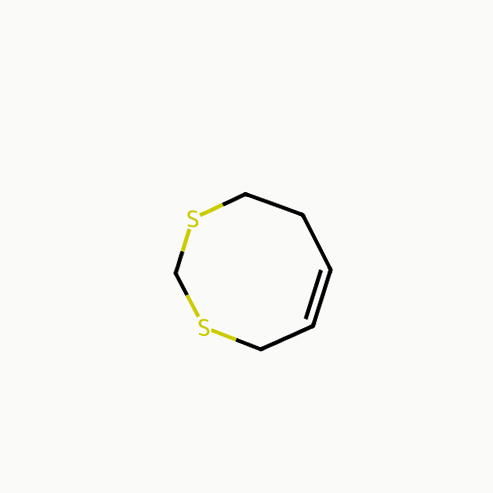 C1=C\CSCSCC/1